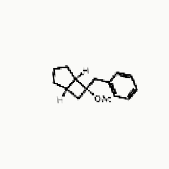 CC(=O)O[C@@]1(Cc2ccccc2)C[C@@H]2CCC[C@@H]21